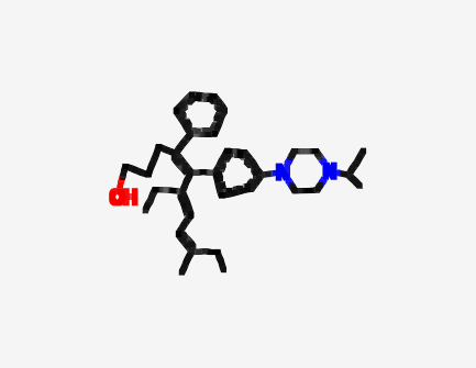 CC\C(C)=C/C=C(CC)/C(=C(\CCCO)c1ccccc1)c1ccc(N2CCN(C(C)C)CC2)cc1